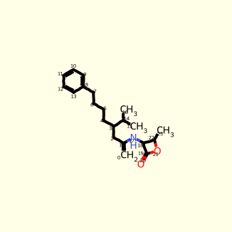 C=C(CC(CCCCc1ccccc1)C(C)C)NC1C(=O)OC1C